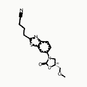 COC[C@H]1CN(c2ccc3nc(CCCC#N)sc3c2)C(=O)O1